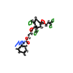 O=C(Nc1ccccc1)OCCCOc1c(Cl)cc(OCC=C(Cl)Cl)cc1Cl